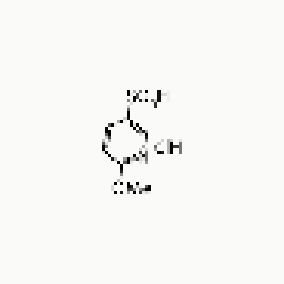 COc1ccc(S(=O)(=O)O)cn1.Cl